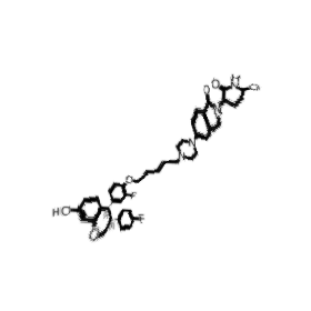 O=C1CCC(N2Cc3cc(N4CCN(CCCCCOc5ccc([C@H]6c7ccc(O)cc7OC[C@H]6c6ccc(F)cc6)cc5F)CC4)ccc3C2=O)C(=O)N1